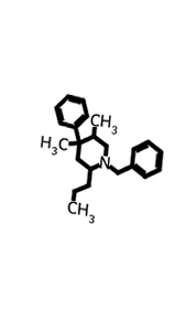 CCCC1CC(C)(c2ccccc2)C(C)CN1Cc1ccccc1